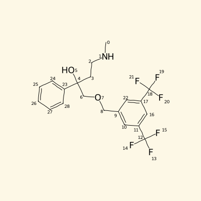 CNCCC(O)(COCc1cc(C(F)(F)F)cc(C(F)(F)F)c1)c1ccccc1